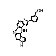 N#Cc1cnc2sc(-c3cccc(CO)c3)cc2c1Nc1cccc2[nH]ccc12